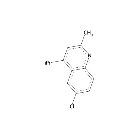 Cc1cc(C(C)C)c2cc(Cl)ccc2n1